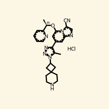 Cc1c(-c2cc(O[C@H](C)c3ccccn3)n3c(C#N)cnc3c2)nnn1C1CC2(CCNCC2)C1.Cl